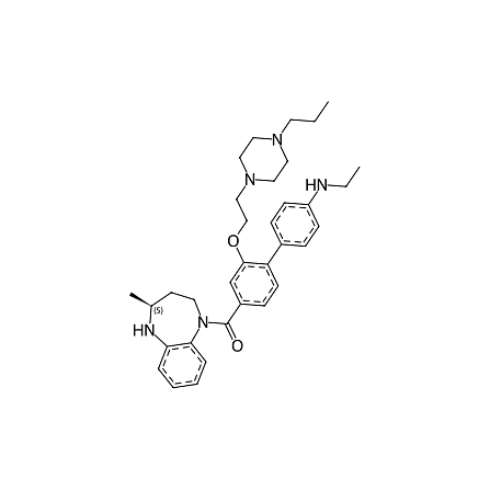 CCCN1CCN(CCOc2cc(C(=O)N3CC[C@H](C)Nc4ccccc43)ccc2-c2ccc(NCC)cc2)CC1